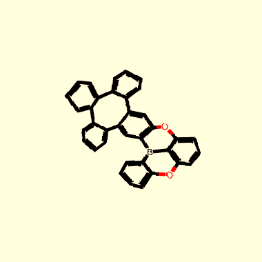 c1ccc2c(c1)Oc1cccc3c1B2c1cc2c(cc1O3)-c1ccccc1-c1ccccc1-c1ccccc1-2